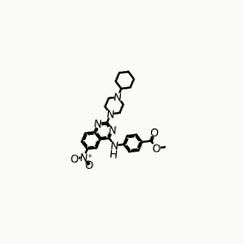 COC(=O)c1ccc(Nc2nc(N3CCN(C4CCCCC4)CC3)nc3ccc([N+](=O)[O-])cc23)cc1